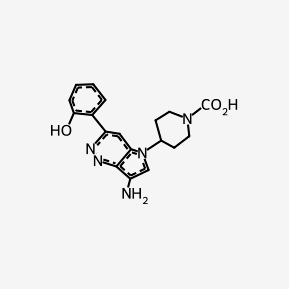 Nc1cn(C2CCN(C(=O)O)CC2)c2cc(-c3ccccc3O)nnc12